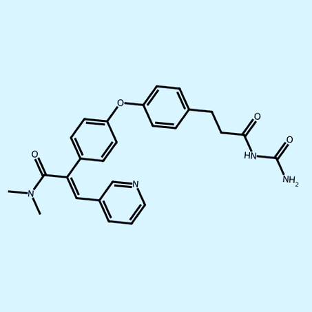 CN(C)C(=O)/C(=C/c1cccnc1)c1ccc(Oc2ccc(CCC(=O)NC(N)=O)cc2)cc1